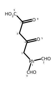 O=[CH][Rh]([CH]=O)[CH2]C(=O)CC(=O)C(=O)O